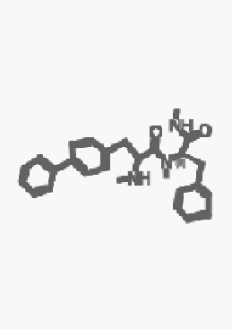 CNC(=O)[C@@H](Cc1ccccc1)N(C)C(=O)C(Cc1ccc(-c2ccccc2)cc1)NC